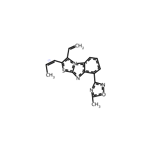 C=Cc1c(/C=C\C)sc2nc3c(-c4noc(C)n4)cccc3n12